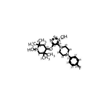 CC1(C)CN(O)C(C)(C)CC1Oc1nsnc1N1CCN(c2ccc(F)cc2)CC1.Cl